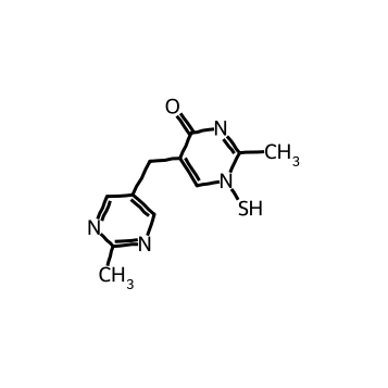 Cc1ncc(Cc2cn(S)c(C)nc2=O)cn1